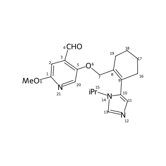 COc1cc(C=O)c(OCC2=C(c3cncn3C(C)C)CCCC2)cn1